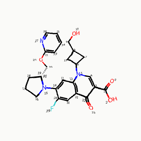 O=C(O)c1cn(C2CC(CO)C2)c2cc(N3CCC[C@@H]3COc3ccccn3)c(F)cc2c1=O